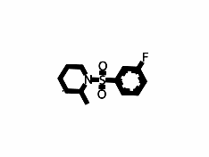 CC1[CH]CCCN1S(=O)(=O)c1cccc(F)c1